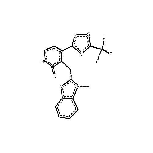 Cn1c(Cc2c(-c3noc(C(F)(F)F)n3)cc[nH]c2=O)nc2ccccc21